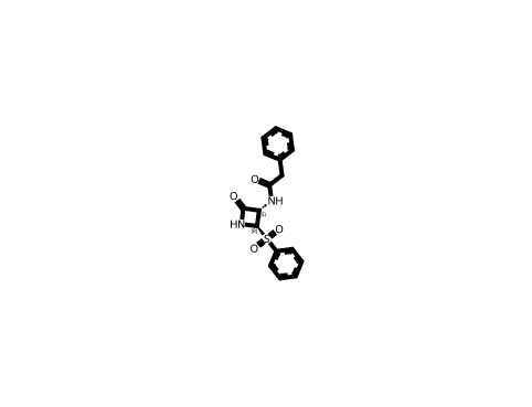 O=C(Cc1ccccc1)N[C@H]1C(=O)N[C@@H]1S(=O)(=O)c1ccccc1